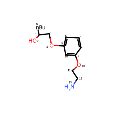 CCCCC(O)COc1cccc(OCCN)c1